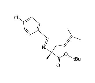 CC(C)=CC[C@@](C)(N=Cc1ccc(Cl)cc1)C(=O)OC(C)(C)C